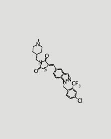 CN1CCC(CN2C(=O)S/C(=C\c3ccc4c(cnn4Cc4ccc(Cl)cc4C(F)(F)F)c3)C2=O)CC1